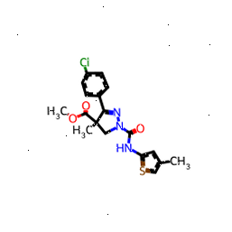 COC(=O)C1(C)CN(C(=O)Nc2cc(C)cs2)N=C1c1ccc(Cl)cc1